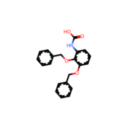 O=C(O)Nc1cccc(OCc2ccccc2)c1OCc1ccccc1